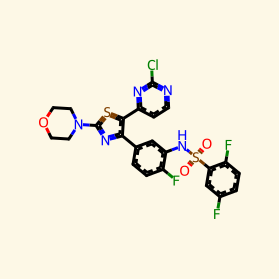 O=S(=O)(Nc1cc(-c2nc(N3CCOCC3)sc2-c2ccnc(Cl)n2)ccc1F)c1cc(F)ccc1F